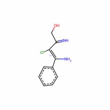 N=C(CO)/C(Cl)=C(\N)c1ccccc1